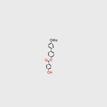 COc1ccc(-c2ccc(OC(=O)c3ccc(O)cc3)cc2)cc1